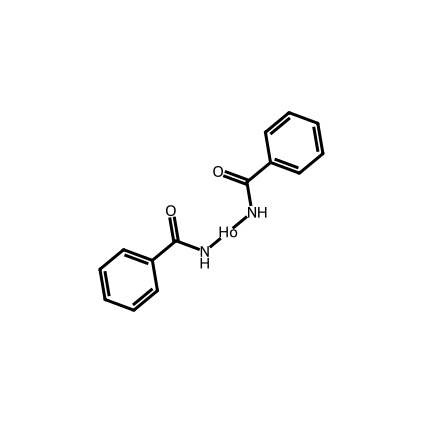 O=C([NH][Ho][NH]C(=O)c1ccccc1)c1ccccc1